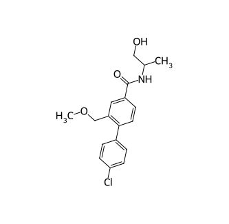 COCc1cc(C(=O)NC(C)CO)ccc1-c1ccc(Cl)cc1